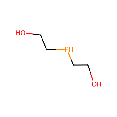 OCCPCCO